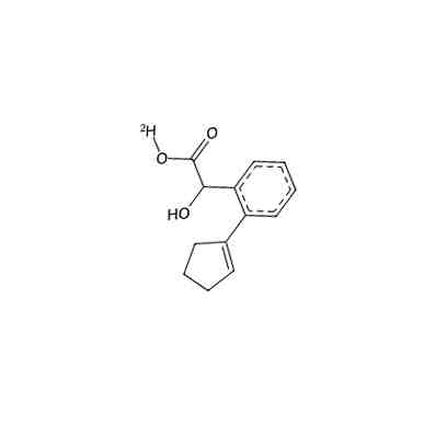 [2H]OC(=O)C(O)c1ccccc1C1=CCCC1